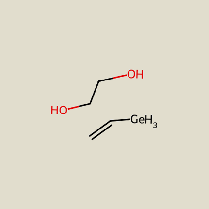 C=[CH][GeH3].OCCO